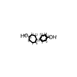 Oc1ccc([C@@H]2CCC[C@H](O)CC2)cc1